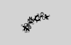 CC(C)(C)OC(=O)N1CCC(n2cc(B3OC(C)(C)C(C)(C)O3)nn2)CC1